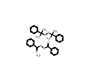 CC(C)(OOC(C)(C)c1ccccc1)c1ccccc1.O=C(OOC(=O)c1ccccc1)c1ccccc1.S